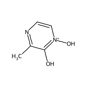 Cc1ncc[n+](O)c1O